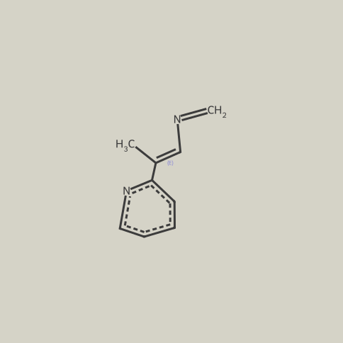 C=N/C=C(\C)c1ccccn1